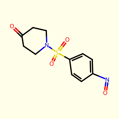 O=Nc1ccc(S(=O)(=O)N2CCC(=O)CC2)cc1